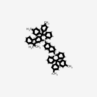 Cc1ccc(C2(c3ccc(C)cc3)c3ccccc3N(c3ccc4cc(N5c6ccccc6C(c6ccc(C)cc6)(c6ccc(C)cc6)c6cc7c(cc65)C(C)(C)c5ccccc5-7)ccc4c3)c3ccccc32)cc1